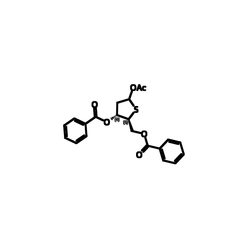 CC(=O)OC1C[C@@H](OC(=O)c2ccccc2)[C@H](COC(=O)c2ccccc2)S1